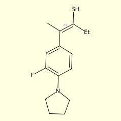 CC/C(S)=C(/C)c1ccc(N2CCCC2)c(F)c1